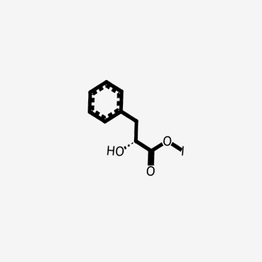 O=C(OI)[C@H](O)Cc1ccccc1